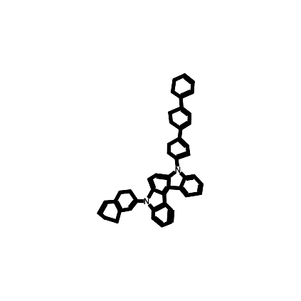 c1ccc2c(c#1)c1c3c4ccccc4n(C4=CC=C(C5=CC=C(C6=CC=CCC6)CC5)CC4)c3ccc1n2C1=CC2=C(C=CCC2)CC1